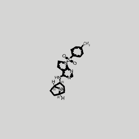 Cc1ccc(S(=O)(=O)n2ccc3c(N[C@H]4CC[C@H]5CC[C@@H]4N5)ncnc32)cc1